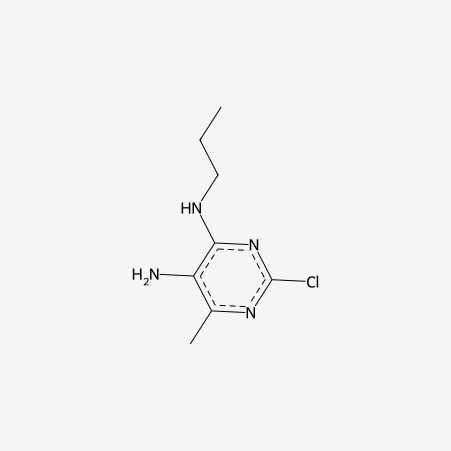 CCCNc1nc(Cl)nc(C)c1N